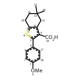 COc1ccc(-c2sc3c(c2C(=O)O)CC(C)(C)CC3)cc1